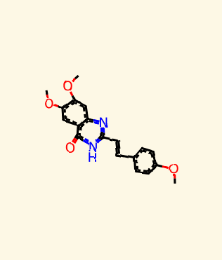 COc1ccc(C=Cc2nc3cc(OC)c(OC)cc3c(=O)[nH]2)cc1